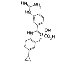 N=C(N)Nc1cccc(C(=O)Nc2ccc(C3CC3)cc2F)c1.O=C(O)O